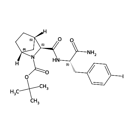 CC(C)(C)OC(=O)N1[C@@H]2CC[C@@H](C2)[C@H]1C(=O)N[C@@H](Cc1ccc(I)cc1)C(N)=O